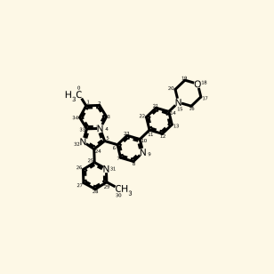 Cc1ccn2c(-c3ccnc(-c4ccc(N5CCOCC5)cc4)c3)c(-c3cccc(C)n3)nc2c1